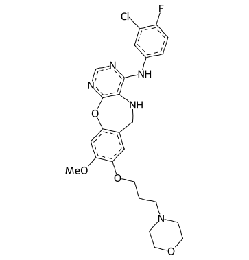 COc1cc2c(cc1OCCCN1CCOCC1)CNc1c(Nc3ccc(F)c(Cl)c3)ncnc1O2